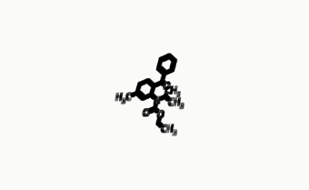 CCOC(=O)N(C(C)C)C1C=C(C)CCC1C(=O)c1ccccc1